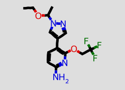 CCOC(C)n1cc(-c2ccc(N)nc2OCC(F)(F)F)cn1